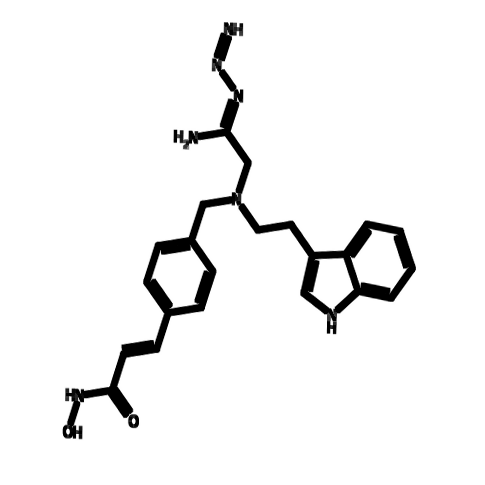 N=N/N=C(\N)CN(CCc1c[nH]c2ccccc12)Cc1ccc(/C=C/C(=O)NO)cc1